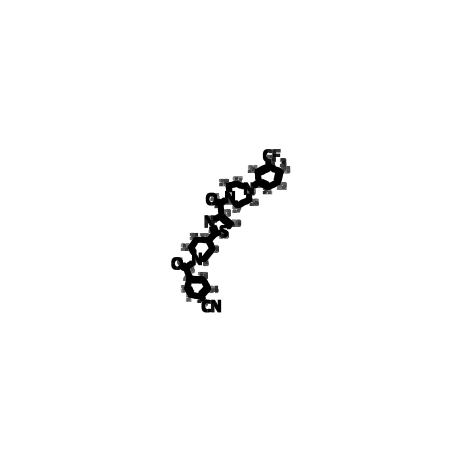 N#Cc1ccc(C(=O)N2CCC(c3nc(C(=O)N4CCN(c5cccc(C(F)(F)F)c5)CC4)cs3)CC2)cc1